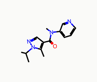 Cc1c(C(=O)N(C)c2cccnc2)cnn1C(C)C